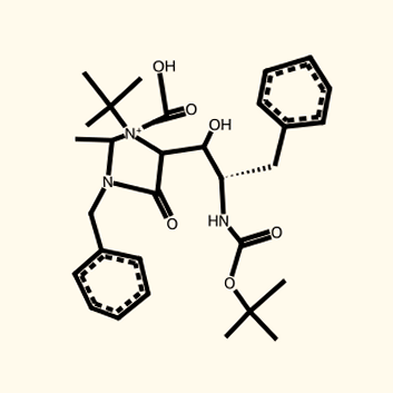 CC1N(Cc2ccccc2)C(=O)C(C(O)[C@H](Cc2ccccc2)NC(=O)OC(C)(C)C)[N+]1(C(=O)O)C(C)(C)C